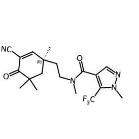 CN(CC[C@]1(C)C=C(C#N)C(=O)C(C)(C)C1)C(=O)c1cnn(C)c1C(F)(F)F